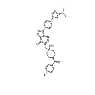 O=C(c1ccc(F)cc1)N1CCC(O)(Cn2cnc3c(cnn3-c3ccc(-c4cnn(C(F)F)c4)cc3)c2=O)CC1